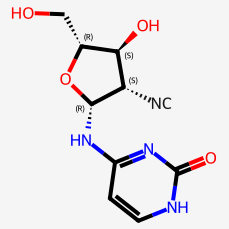 [C-]#[N+][C@H]1[C@H](O)[C@@H](CO)O[C@H]1Nc1cc[nH]c(=O)n1